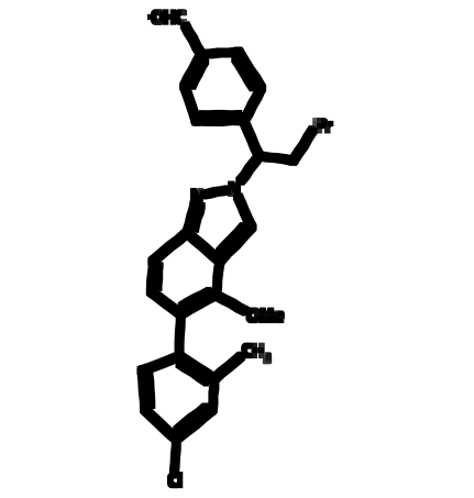 COc1c(-c2ccc(Cl)cc2C)ccc2nn(C(CC(C)C)c3ccc([C]=O)cc3)cc12